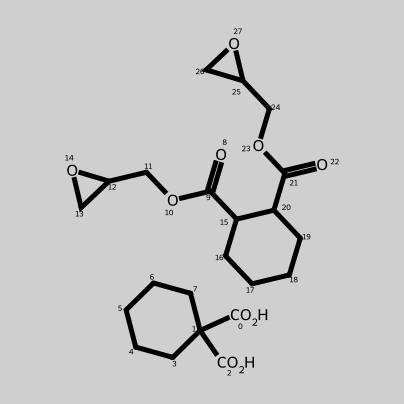 O=C(O)C1(C(=O)O)CCCCC1.O=C(OCC1CO1)C1CCCCC1C(=O)OCC1CO1